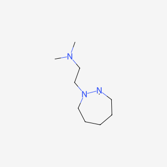 CN(C)CCN1CCCCC[N]1